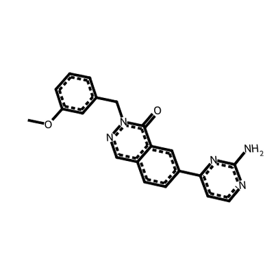 COc1cccc(Cn2ncc3ccc(-c4ccnc(N)n4)cc3c2=O)c1